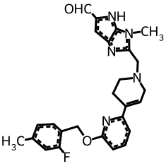 Cc1ccc(COc2cccc(C3=CCN(Cc4nc5cc(C=O)[nH]c5n4C)CC3)n2)c(F)c1